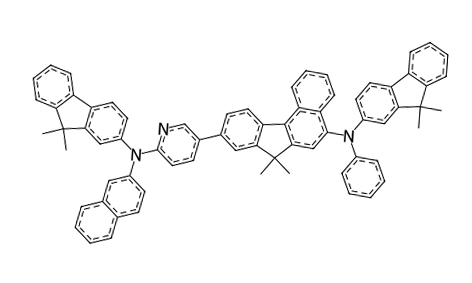 CC1(C)c2ccccc2-c2ccc(N(c3ccc4ccccc4c3)c3ccc(-c4ccc5c(c4)C(C)(C)c4cc(N(c6ccccc6)c6ccc7c(c6)C(C)(C)c6ccccc6-7)c6ccccc6c4-5)cn3)cc21